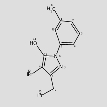 Cc1cccc(-n2nc(CC(C)C)c(C(C)C)c2O)c1